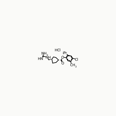 Cc1cc(OC(=O)[C@H]2CC[C@H](CNC(=N)N)CC2)c(C(C)C)cc1Cl.Cl